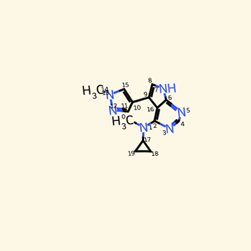 CN(c1ncnc2[nH]cc(-c3cnn(C)c3)c12)C1CC1